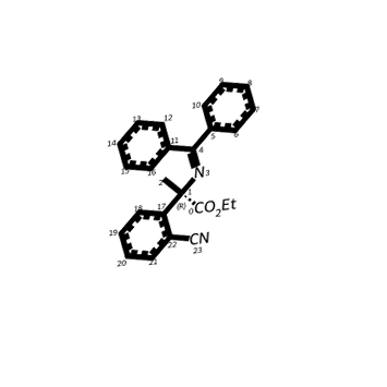 CCOC(=O)[C@](C)(N=C(c1ccccc1)c1ccccc1)c1ccccc1C#N